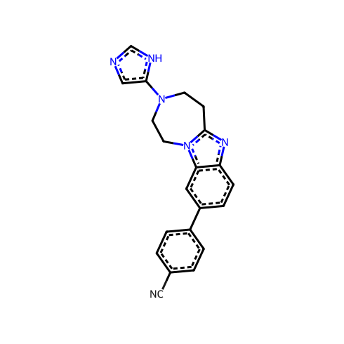 N#Cc1ccc(-c2ccc3nc4n(c3c2)CCN(c2cnc[nH]2)CC4)cc1